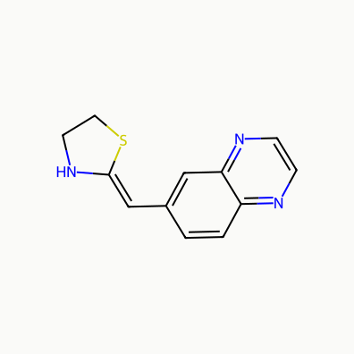 C(=C1NCCS1)c1ccc2nccnc2c1